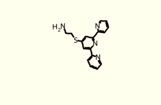 NCCSc1cc(-c2ccccn2)nc(-c2ccccn2)c1